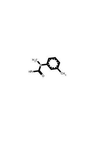 CCCC(=O)N(C)c1cccc(C)c1